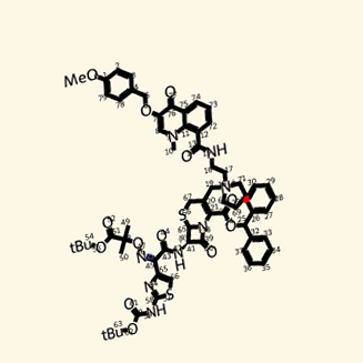 COc1ccc(COc2cn(C)c3c(C(=O)NCC[N+]4(CC5=C(C(=O)OC(c6ccccc6)c6ccccc6)N6C(=O)[C@@H](NC(=O)/C(=N\OC(C)(C)C(=O)OC(C)(C)C)c7csc(NC(=O)OC(C)(C)C)n7)C6SC5)CCCC4)cccc3c2=O)cc1